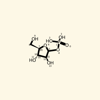 O=P(O)(O)OC1O[C@H](CO)[C@@H](O)[C@@H]1O